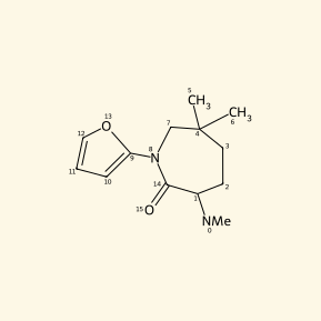 CNC1CCC(C)(C)CN(c2ccco2)C1=O